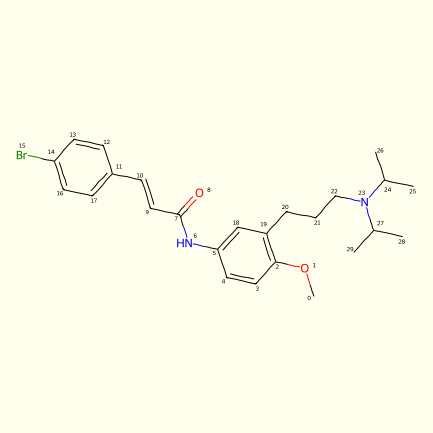 COc1ccc(NC(=O)/C=C/c2ccc(Br)cc2)cc1CCCN(C(C)C)C(C)C